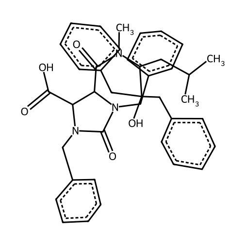 CC(C)CC(N(C)C(=O)C1C(C(=O)O)N(Cc2ccccc2)C(=O)N1Cc1ccccc1)C(O)(Cc1ccccc1)Cc1ccccc1